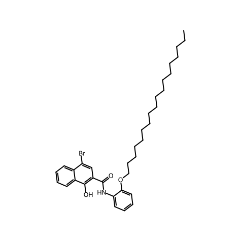 CCCCCCCCCCCCCCCCCCOc1ccccc1NC(=O)c1cc(Br)c2ccccc2c1O